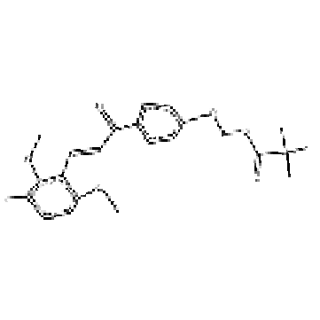 COc1ccc(C)c(OC)c1/C=C/C(=O)c1ccc(OCOC(=O)C(C)(C)C)cc1